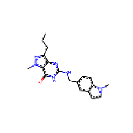 CCCc1nn(C)c2c(=O)[nH]c(NCc3ccc4c(ccn4C)c3)nc12